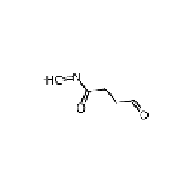 [CH]=NC(=O)CCC=O